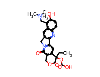 CCC1(OC(=O)O)C(=O)OCc2c1cc1n(c2=O)Cc2cc3c(CN(C)C)c(O)ccc3nc2-1